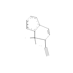 C#CC1C=Cc2ccccc2C1(C=O)OC